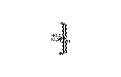 CC(C)CCCCCCCNCCCCCCCC(C)C.CC(C)CCCCCCCNCCCCCCCC(C)C.O=C(O)CC(C(=O)O)S(=O)(=O)O